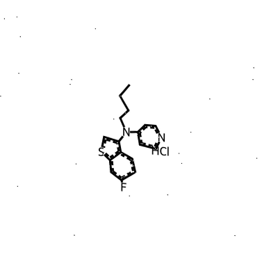 CCCCN(c1ccncc1)c1csc2cc(F)ccc12.Cl